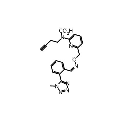 C#CCCN(C(=O)O)c1cccc(CO/N=C\c2ccccc2-c2nnnn2C)n1